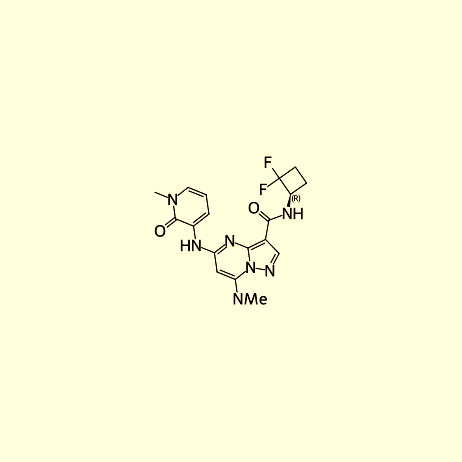 CNc1cc(Nc2cccn(C)c2=O)nc2c(C(=O)N[C@@H]3CCC3(F)F)cnn12